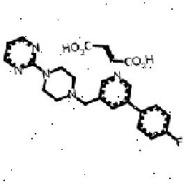 Fc1ccc(-c2cncc(CN3CCN(c4ncccn4)CC3)c2)cc1.O=C(O)C=CC(=O)O